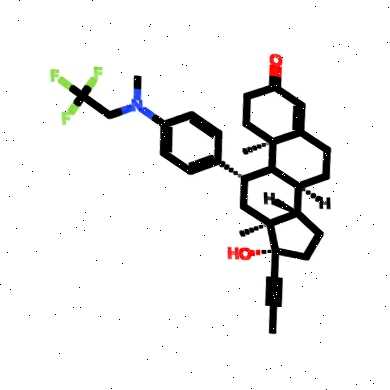 CC#C[C@]1(O)CC[C@H]2[C@@H]3CCC4=CC(=O)CC[C@]4(C)C3[C@@H](c3ccc(N(C)CC(F)(F)F)cc3)C[C@@]21C